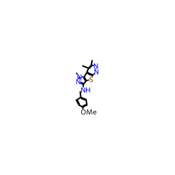 COc1ccc(CNc2nn(C)c3c2sc2nnc(C)c(C)c23)cc1